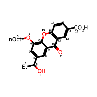 CCCCCCCCOc1cc(C(O)CC)cc2c(=O)c3cc(C(=O)O)ccc3oc12